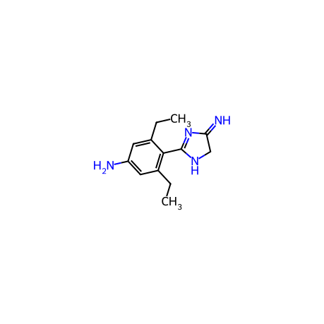 CCc1cc(N)cc(CC)c1C1=NC(=N)CN1